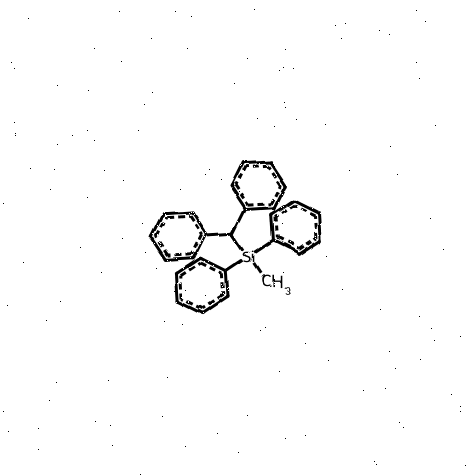 C[Si](c1ccccc1)(c1ccccc1)C(c1ccccc1)c1ccccc1